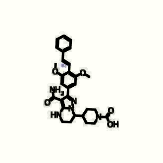 COc1cc(-c2nn3c(c2C(N)=O)NCCC3C2CCN(C(=O)O)CC2)cc(OC)c1/C=C/c1ccccc1